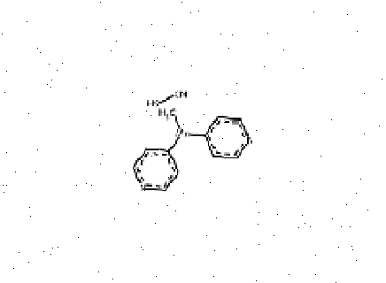 N#CS.[CH3][Mn]([c]1ccncc1)[c]1ccncc1